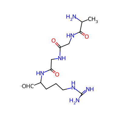 CC(N)C(=O)NCC(=O)NCC(=O)NC([C]=O)CCCNC(=N)N